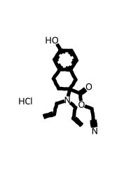 C=CCN(CC=C)C1(C(=O)OCC#N)CCc2cc(O)ccc2C1.Cl